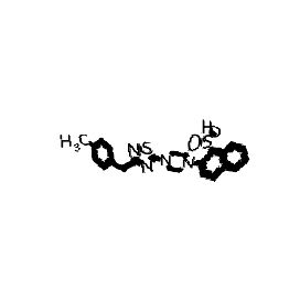 Cc1ccc(Cc2nsc(N3CCN(c4ccc5ccccc5c4[SH](=O)=O)CC3)n2)cc1